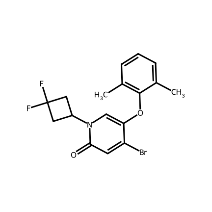 Cc1cccc(C)c1Oc1cn(C2CC(F)(F)C2)c(=O)cc1Br